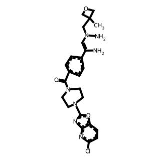 CC1(CN(N)/C=C(\N)c2ccc(C(=O)N3CCN(c4nc5nc(Cl)ccc5o4)CC3)cc2)COC1